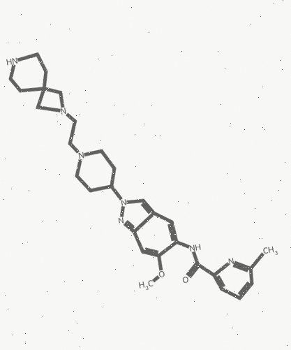 COc1cc2nn(C3CCN(CCN4CC5(CCNCC5)C4)CC3)cc2cc1NC(=O)c1cccc(C)n1